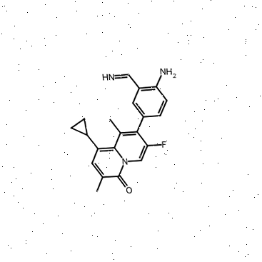 Cc1cc(C2CC2)c2c(C)c(-c3ccc(N)c(C=N)c3)c(F)cn2c1=O